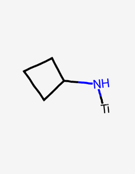 [Ti][NH]C1CCC1